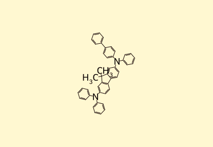 CC1(C)c2cc(N(c3ccccc3)c3ccccc3)ccc2-c2ccc(N(c3ccccc3)c3ccc(-c4ccccc4)cc3)cc21